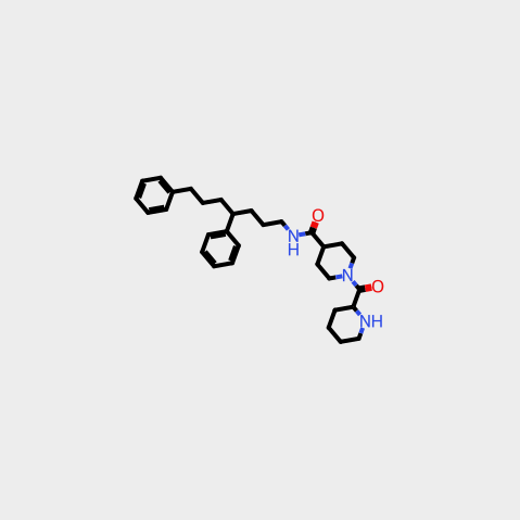 O=C(NCCCC(CCCc1ccccc1)c1ccccc1)C1CCN(C(=O)C2CCCCN2)CC1